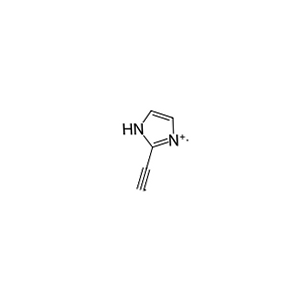 [C]#CC1=[N+]C=CN1